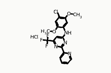 COc1cc(Nc2cc(C(F)(F)F)nc(-c3ccccn3)n2)c(OC)cc1Cl.Cl